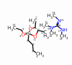 CCCC[Si](OCC)(OCC)OCC.CN=C(NC)N(C)C